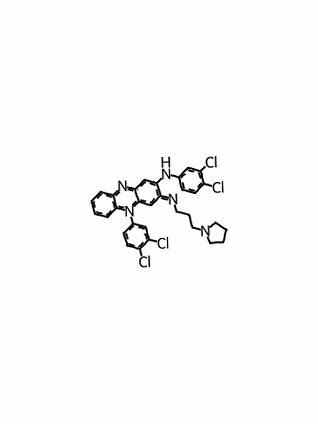 Clc1ccc(Nc2cc3nc4ccccc4n(-c4ccc(Cl)c(Cl)c4)c-3cc2=NCCCN2CCCC2)cc1Cl